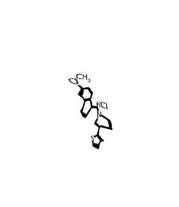 COc1ccc2c(c1)CCC2CN1CCC(c2cccs2)C1.Cl